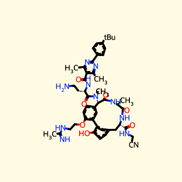 CC(=N)NCCOc1ccc2cc1-c1cc(ccc1O)C[C@@H](C(=O)NCC#N)NC(=O)[C@H](C)NC(=O)[C@H]2N(C)C(=O)[C@H](CCN)NC(=O)c1c(C)nc(-c2ccc(C(C)(C)C)cc2)nc1C